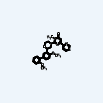 COc1ccccc1-c1ccc(OC)c(C2CN(c3nc(-c4ccncn4)cc(=O)n3C)CCO2)c1